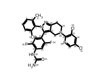 Cc1cccc(C)c1-n1nc2c(c1-c1cc(F)c(NC(N)=O)cc1F)CN(c1ncc(Cl)cc1Cl)CC2